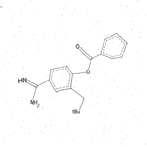 CC(C)(C)Cc1cc(C(=N)N)ccc1OC(=O)c1ccccc1